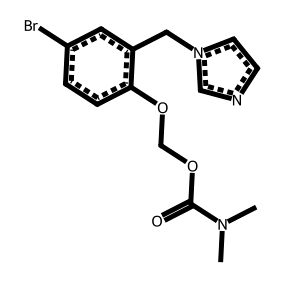 CN(C)C(=O)OCOc1ccc(Br)cc1Cn1ccnc1